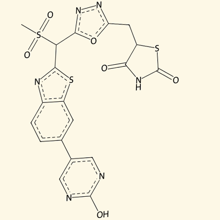 CS(=O)(=O)C(c1nnc(CC2SC(=O)NC2=O)o1)c1nc2ccc(-c3cnc(O)nc3)cc2s1